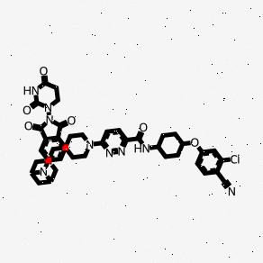 N#Cc1ccc(OC2CCC(NC(=O)c3ccc(N4CCC(CN5CC6CC(C5)N6c5ccc6c(c5)C(=O)N(N5CCC(=O)NC5=O)C6=O)CC4)nn3)CC2)cc1Cl